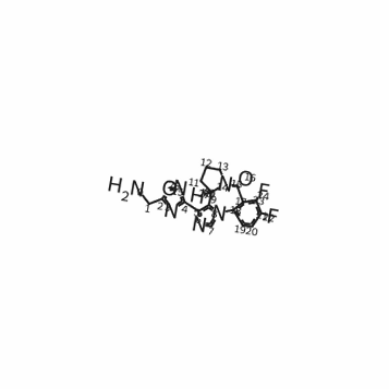 NCc1nc(-c2ncn3c2[C@@H]2CCCN2C(=O)c2c-3ccc(F)c2F)no1